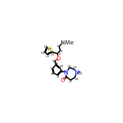 CNCCC(OCc1cccc(N2CCN(C)CCC2=O)c1)c1cccs1